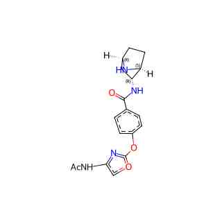 CC(=O)Nc1coc(Oc2ccc(C(=O)N[C@@H]3C[C@H]4CC[C@@H]3N4)cc2)n1